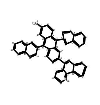 CC(C)(C)c1ccc2c(-c3ccc4ccccc4c3)c3cc(-c4cc5ccccc5c5ncccc45)ccc3c(-c3ccc4ccccc4c3)c2c1